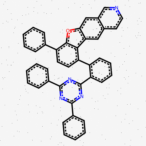 c1ccc(-c2nc(-c3ccccc3)nc(-c3ccccc3-c3ccc(-c4ccccc4)c4oc5cc6cnccc6cc5c34)n2)cc1